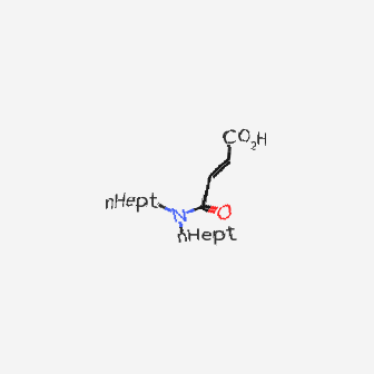 CCCCCCCN(CCCCCCC)C(=O)/C=C/C(=O)O